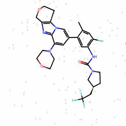 Cc1cc(F)c(NC(=O)N2CC[C@@H](CC(F)(F)F)C2)cc1-c1cc(N2CCOCC2)c2nc3c(n2c1)CCOC3